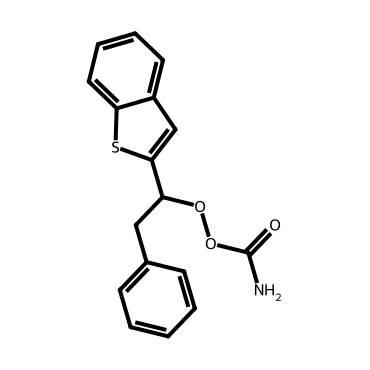 NC(=O)OOC(Cc1ccccc1)c1cc2ccccc2s1